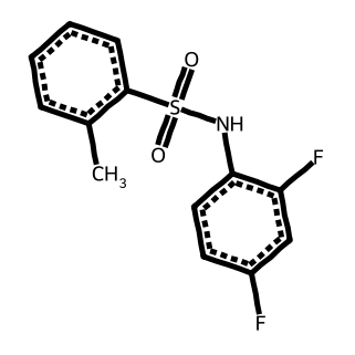 Cc1ccccc1S(=O)(=O)Nc1ccc(F)cc1F